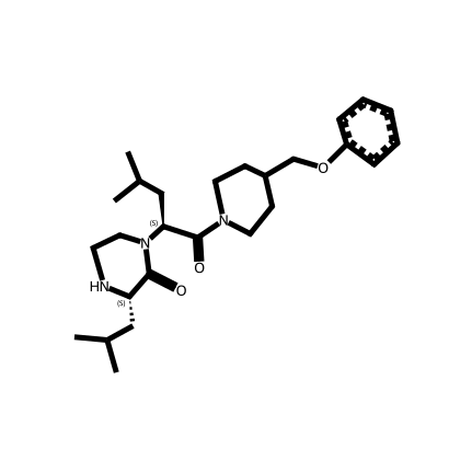 CC(C)C[C@@H]1NCCN([C@@H](CC(C)C)C(=O)N2CCC(COc3ccccc3)CC2)C1=O